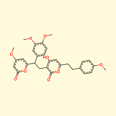 COc1ccc(CCc2cc(O)c(CC(c3ccc(OC)c(OC)c3)c3cc(OC)cc(=O)o3)c(=O)o2)cc1